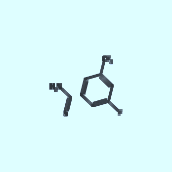 Fc1cccc(C(F)(F)F)c1.NC=S